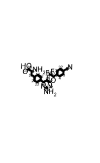 N#Cc1ccc(C(Oc2cc(-c3ccc(C[C@H](N)C(=O)O)cc3)nc(N)n2)C(F)(F)F)cc1